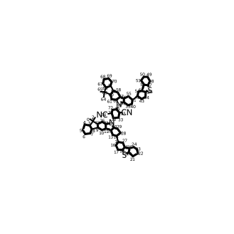 CC1(C)c2ccccc2-c2cc3c4cc(-c5ccc6sc7ccccc7c6c5)ccc4n(-c4cc(C#N)c(-n5c6ccc(-c7ccc8sc9ccccc9c8c7)cc6c6cc7c(cc65)C(C)(C)c5ccccc5-7)cc4C#N)c3cc21